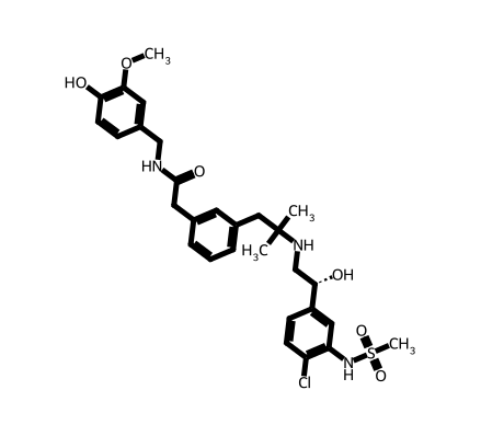 COc1cc(CNC(=O)Cc2cccc(CC(C)(C)NC[C@H](O)c3ccc(Cl)c(NS(C)(=O)=O)c3)c2)ccc1O